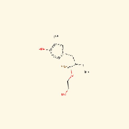 CC(C)(C)CC(Cc1ccc(O)c(C(C)(C)C)c1)C(=S)OCCO